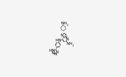 Nc1cc(Nc2ccc(-c3nnn[nH]3)cc2)c2nc([C@H]3CC[C@H](N)CC3)cn2n1